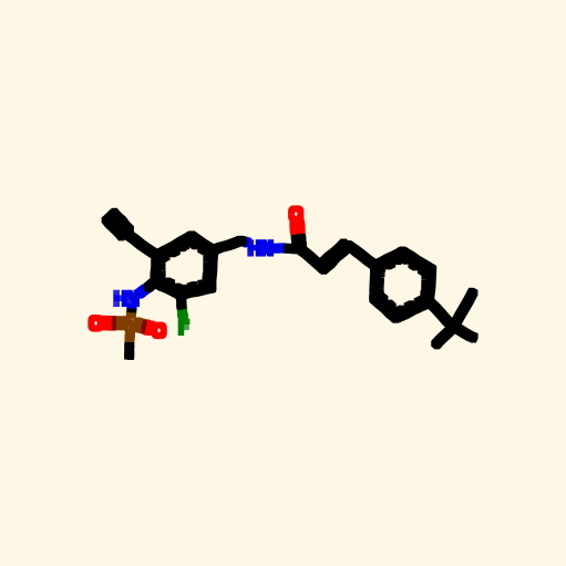 C#Cc1cc(CNC(=O)C=Cc2ccc(C(C)(C)C)cc2)cc(F)c1NS(C)(=O)=O